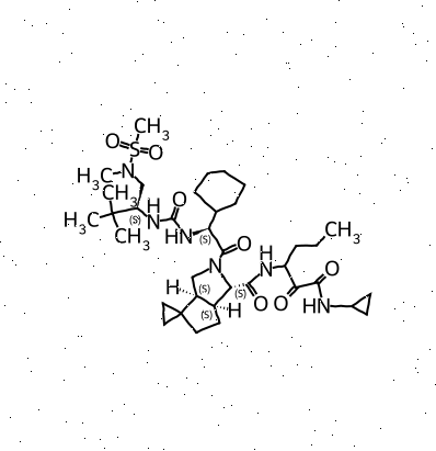 CCCC(NC(=O)[C@@H]1[C@H]2CCC3(CC3)[C@H]2CN1C(=O)[C@@H](NC(=O)N[C@H](CN(C)S(C)(=O)=O)C(C)(C)C)C1CCCCC1)C(=O)C(=O)NC1CC1